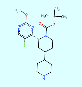 COc1ncc(F)c([C@H]2CC(C3CCNCC3)CCN2C(=O)OC(C)(C)C)n1